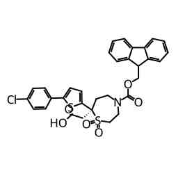 O=C(O)C[C@]1(c2ccc(-c3ccc(Cl)cc3)s2)CCN(C(=O)OCC2c3ccccc3-c3ccccc32)CCS1(=O)=O